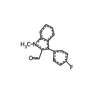 Cn1c(C=O)c(-c2ccc(F)cc2)c2ccccc21